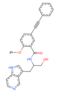 CC(C)Oc1ccc(C#Cc2ccccc2)cc1C(=O)NC(CO)Cc1c[nH]c2ccncc12